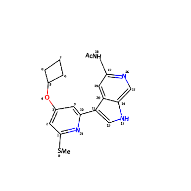 CSc1cc(OC2CCC2)cc(-c2c[nH]c3cnc(NC(C)=O)cc23)n1